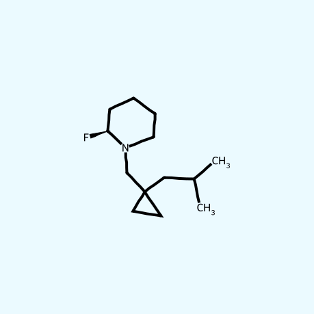 CC(C)CC1(CN2CCCC[C@@H]2F)CC1